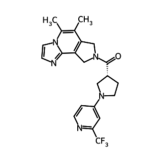 Cc1c2c(c3nccn3c1C)CN(C(=O)[C@@H]1CCN(c3ccnc(C(F)(F)F)c3)C1)C2